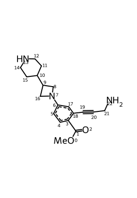 COC(=O)c1ccc(N2CC(C3CCNCC3)C2)cc1C#CCN